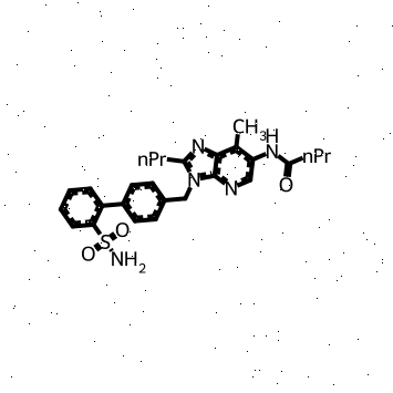 CCCC(=O)Nc1cnc2c(nc(CCC)n2Cc2ccc(-c3ccccc3S(N)(=O)=O)cc2)c1C